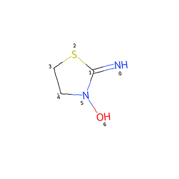 N=C1SC[CH]N1O